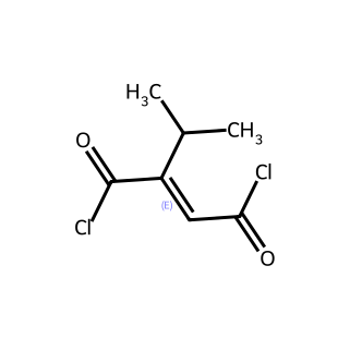 CC(C)/C(=C\C(=O)Cl)C(=O)Cl